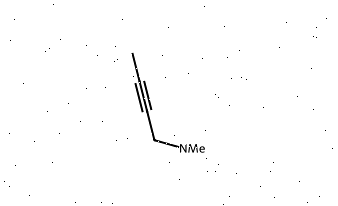 CC#CCNC